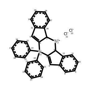 C1=C2[CH]([Ti+2][CH]3C(=Cc4ccccc43)[Si]2(c2ccccc2)c2ccccc2)c2ccccc21.[Cl-].[Cl-]